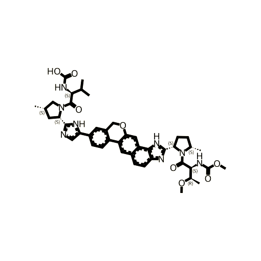 COC(=O)N[C@H](C(=O)N1[C@@H](C)CC[C@H]1c1nc2ccc3cc4c(cc3c2[nH]1)OCc1cc(-c2cnc([C@@H]3C[C@H](C)CN3C(=O)[C@@H](NC(=O)O)C(C)C)[nH]2)ccc1-4)[C@@H](C)OC